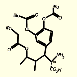 CCC(C)C(=O)Oc1ccc(C(C(C)C(C)OC(=O)CC(C)C)[C@H](N)C(=O)O)cc1OC(=O)C(C)CC